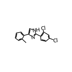 Cc1ccccc1-c1c[nH]c(-c2ccc(Cl)cc2Cl)n1